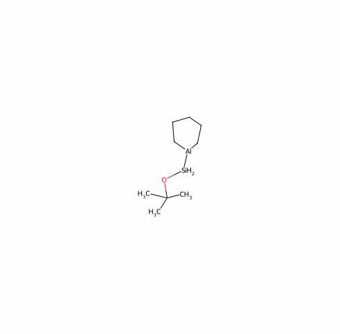 CC(C)(C)O[SiH2][Al]1[CH2]CCC[CH2]1